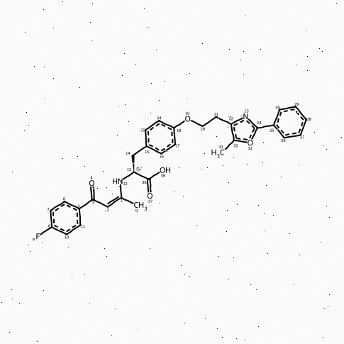 CC(=CC(=O)c1ccc(F)cc1)N[C@@H](Cc1ccc(OCCc2nc(-c3ccccc3)oc2C)cc1)C(=O)O